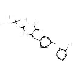 CC(C)(C)OC(=O)N/C(=C/c1ccc(Oc2ccccc2Cl)cc1)C(=O)O